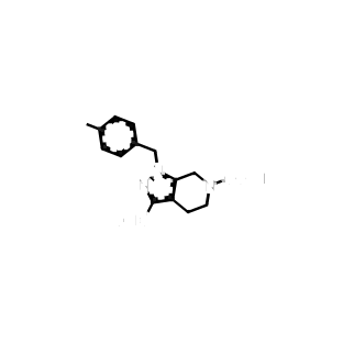 O=Cc1nn(Cc2ccc(F)cc2)c2c1CCN(C(=O)O)C2